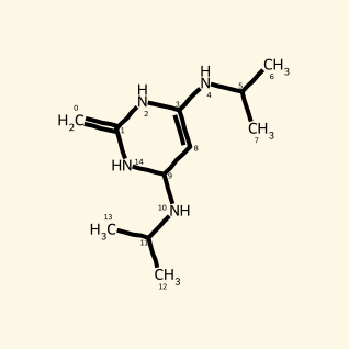 C=C1NC(NC(C)C)=CC(NC(C)C)N1